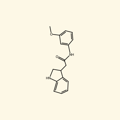 COc1cccc(NC(=O)CC2CNc3ccccc32)c1